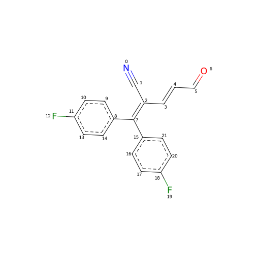 N#CC(C=CC=O)=C(c1ccc(F)cc1)c1ccc(F)cc1